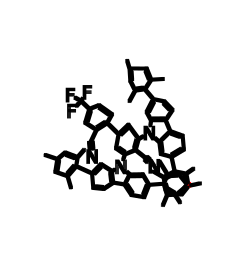 Cc1cc(C)c(-c2ccc3c4ccc(-c5c(C)cc(C)cc5C)cc4n(-c4cc(-c5ccc(C(F)(F)F)cc5C#N)cc(-n5c6cc(-c7c(C)cc(C)cc7C)ccc6c6ccc(-c7c(C)cc(C)cc7C)cc65)c4C#N)c3c2)c(C)c1